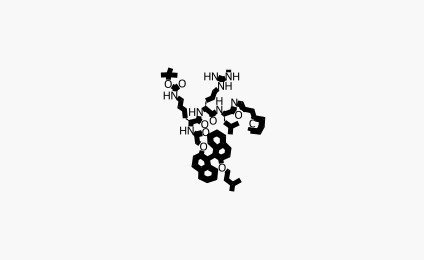 CNC(=N)NCCC[C@@H](NC(=O)[C@@H](CCCCNC(=O)OC(C)(C)C)NC(=O)COc1ccc2ccccc2c1-c1c(OCCC(C)C)ccc2ccccc12)C(=O)N[C@@H](CC(C)C)c1ncc(Cc2ccccc2)o1